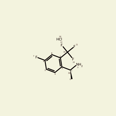 C[C@H](N)c1ccc(F)cc1C(F)(F)F.Cl